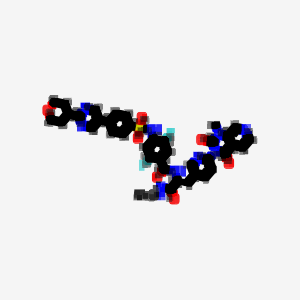 CONC(=O)[C@H](Cc1ccc(-n2c(=O)c3ccncc3n(C)c2=O)nc1)NC(=O)c1cc(F)c(NS(=O)(=O)c2ccc(-c3cnc(C4CCOCC4)nc3)cc2)cc1F